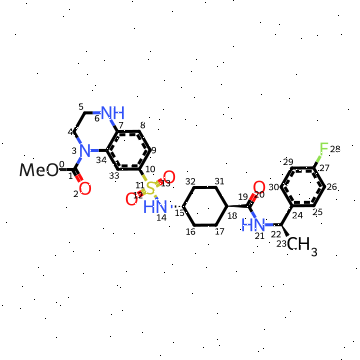 COC(=O)N1CCNc2ccc(S(=O)(=O)N[C@H]3CC[C@H](C(=O)N[C@H](C)c4ccc(F)cc4)CC3)cc21